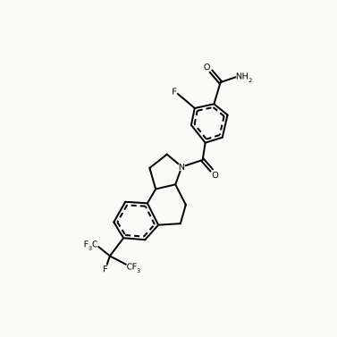 NC(=O)c1ccc(C(=O)N2CCC3c4ccc(C(F)(C(F)(F)F)C(F)(F)F)cc4CCC32)cc1F